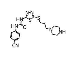 N#Cc1ccc(NC(=O)Nc2nnc(SCCCN3CCNCC3)s2)cc1